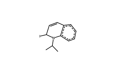 CC(C)N1c2ccccc2C=CC1I